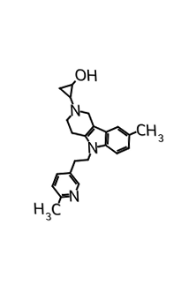 Cc1ccc2c(c1)c1c(n2CCc2ccc(C)nc2)CCN(C2CC2O)C1